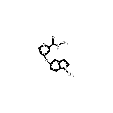 CNC(=O)c1cc(Oc2ccc3c(ccn3C)c2)ccn1